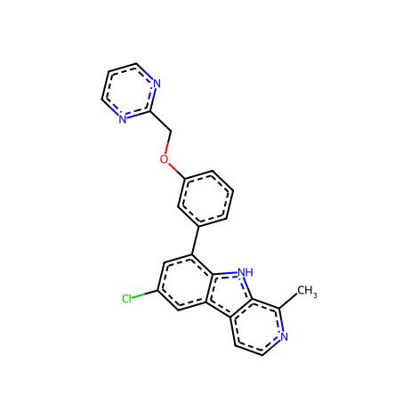 Cc1nccc2c1[nH]c1c(-c3cccc(OCc4ncccn4)c3)cc(Cl)cc12